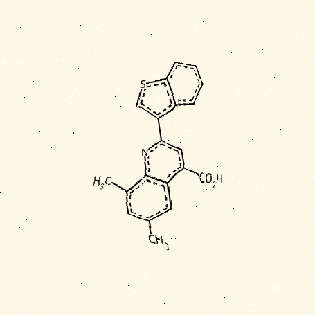 Cc1cc(C)c2nc(-c3csc4ccccc34)cc(C(=O)O)c2c1